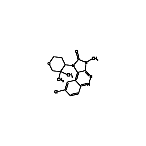 Cn1c(=O)n(C2CCOCC2(C)C)c2c3cc(Cl)ccc3nnc21